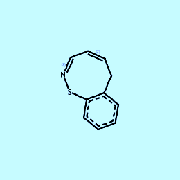 C1=C\Cc2ccccc2S\N=C/1